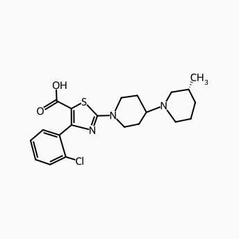 C[C@@H]1CCCN(C2CCN(c3nc(-c4ccccc4Cl)c(C(=O)O)s3)CC2)C1